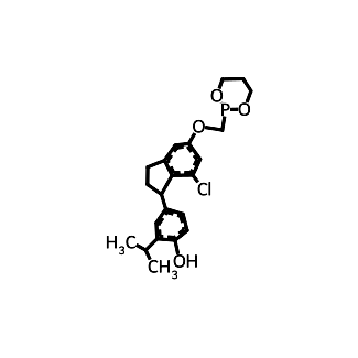 CC(C)c1cc(C2CCc3cc(OCP4OCCCO4)cc(Cl)c32)ccc1O